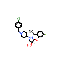 C[C@](O)(CNC1CCN(Cc2ccc(Cl)cc2)CC1)COc1cc(F)ccc1CC#N